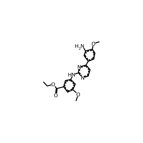 CCOC(=O)c1cc(Nc2nccc(-c3ccc(OC)c(N)c3)n2)cc(OC)c1